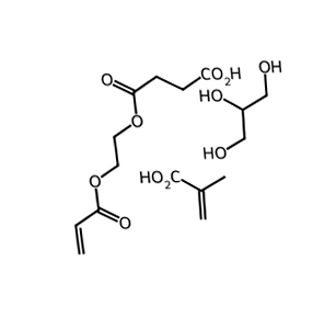 C=C(C)C(=O)O.C=CC(=O)OCCOC(=O)CCC(=O)O.OCC(O)CO